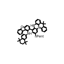 CCCCCc1cc(-c2ccc3oc4ccccc4c3c2Nc2ccc3c(c2)C(C)(C)CCC3(C)C)c2c(c1)N1c3ccccc3C(C)(C)c3cccc(c31)B2